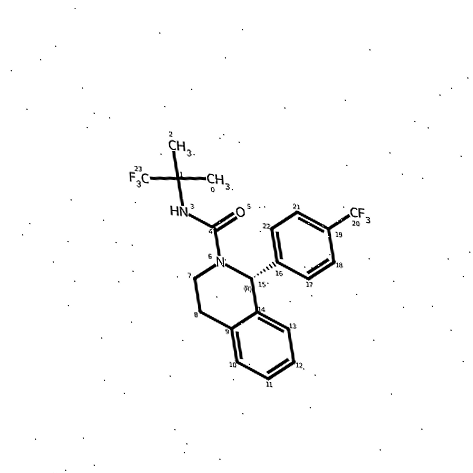 CC(C)(NC(=O)N1CCc2ccccc2[C@H]1c1ccc(C(F)(F)F)cc1)C(F)(F)F